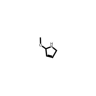 COC1C=[C]CN1